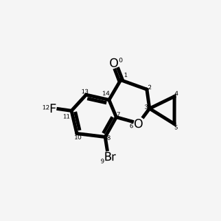 O=C1CC2(CC2)Oc2c(Br)cc(F)cc21